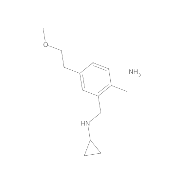 COCCc1ccc(C)c(CNC2CC2)c1.N